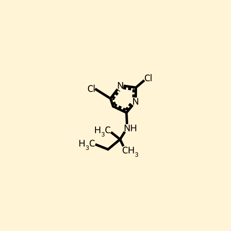 CCC(C)(C)Nc1cc(Cl)nc(Cl)n1